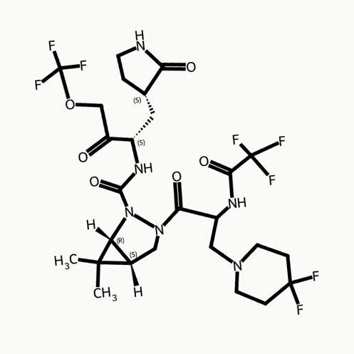 CC1(C)[C@H]2CN(C(=O)C(CN3CCC(F)(F)CC3)NC(=O)C(F)(F)F)N(C(=O)N[C@@H](C[C@@H]3CCNC3=O)C(=O)COC(F)(F)F)[C@H]21